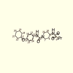 CC(C)S(=O)(=O)NC1CCN(C(=O)Nc2ccc(OC3CCCCC3)cc2)CC1